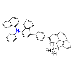 [2H]C([2H])([2H])C1(C)c2cccc3ccc4cc(-c5ccc(-c6ccc(N(c7ccccc7)c7cccc8ccccc78)c7ccccc67)cc5)cc1c4c23